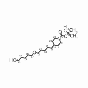 CC(C)(C)OC(=O)N1CCC(CCCCCOCCCCCO)CC1